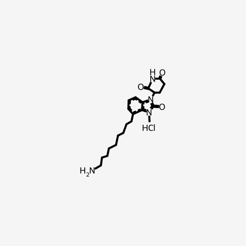 Cl.Cn1c(=O)n(C2CCC(=O)NC2=O)c2cccc(CCCCCCCCCN)c21